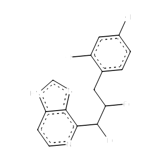 CCC(Cc1ccc(Cl)cc1Cl)C(CC)c1nccc2[nH]cnc12